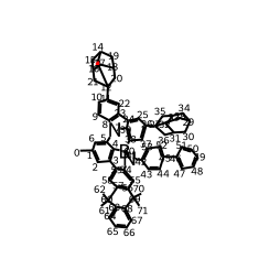 Cc1cc2c3c(c1)-n1c4ccc(C56CC7CC(CC(C7)C5)C6)cc4c4cc(C56CC7CC(CC(C7)C5)C6)cc(c41)B3N(c1ccc(-c3ccccc3)cc1)c1cc3c(cc1-2)C(C)(C)c1ccccc1C3(C)C